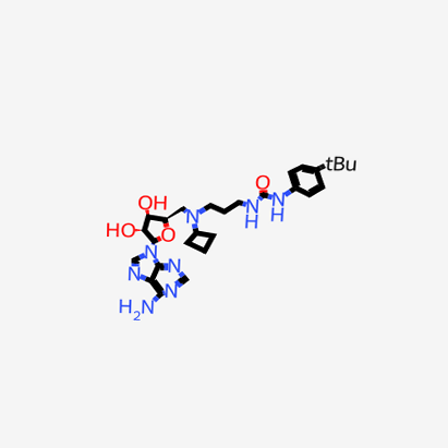 CC(C)(C)c1ccc(NC(=O)NCCCN(C[C@H]2O[C@@H](n3cnc4c(N)ncnc43)[C@H](O)[C@H]2O)C2CCC2)cc1